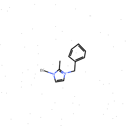 CCn1cc[n+](Cc2ccccc2)c1C